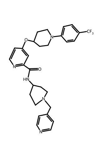 O=C(NC1CCN(Cc2ccncc2)CC1)c1cc(OC2CCN(c3ccc(C(F)(F)F)cc3)CC2)ccn1